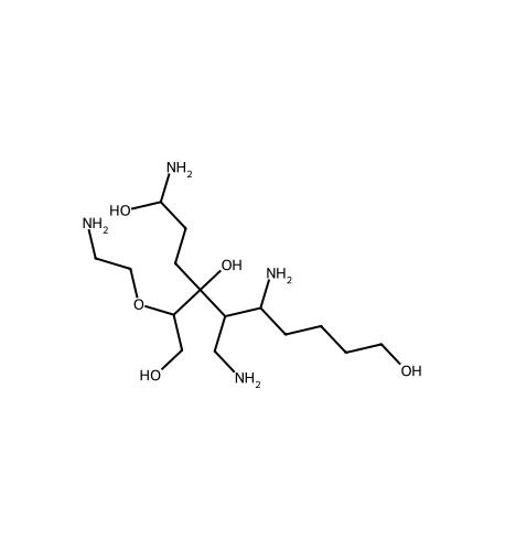 NCCOC(CO)C(O)(CCC(N)O)C(CN)C(N)CCCCO